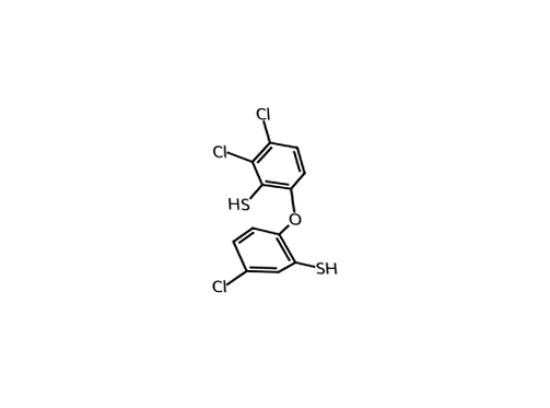 Sc1cc(Cl)ccc1Oc1ccc(Cl)c(Cl)c1S